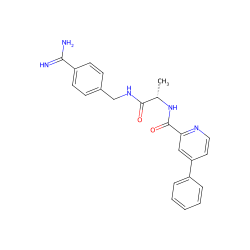 C[C@H](NC(=O)c1cc(-c2ccccc2)ccn1)C(=O)NCc1ccc(C(=N)N)cc1